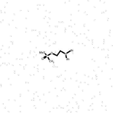 CSP(C)(=O)OCCN(C(C)C)C(C)C